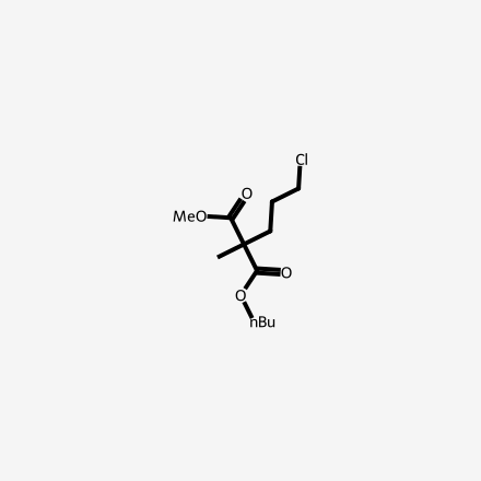 CCCCOC(=O)C(C)(CCCCl)C(=O)OC